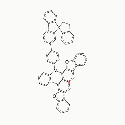 c1ccc2c(c1)CCC21c2ccccc2-c2ccc(-c3ccc(N(c4ccccc4-c4cccc5c4oc4ccccc45)c4cccc5c4oc4ccccc45)cc3)cc21